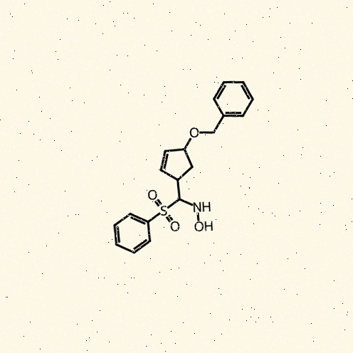 O=S(=O)(c1ccccc1)C(NO)C1C=CC(OCc2ccccc2)C1